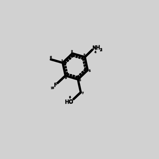 Cc1cc(N)cc(CO)c1F